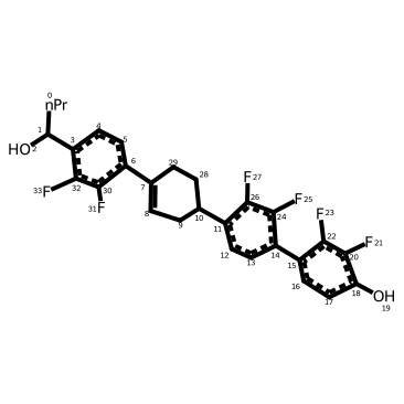 CCCC(O)c1ccc(C2=CCC(c3ccc(-c4ccc(O)c(F)c4F)c(F)c3F)CC2)c(F)c1F